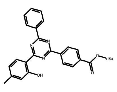 CCCCOC(=O)c1ccc(-c2nc(-c3ccccc3)nc(-c3ccc(C)cc3O)n2)cc1